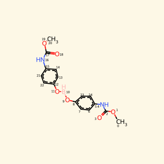 COC(=O)Nc1ccc(OBOc2ccc(NC(=O)OC)cc2)cc1